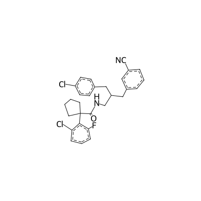 N#Cc1cccc(CC(CNC(=O)C2(c3c(F)cccc3Cl)CCCC2)Cc2ccc(Cl)cc2)c1